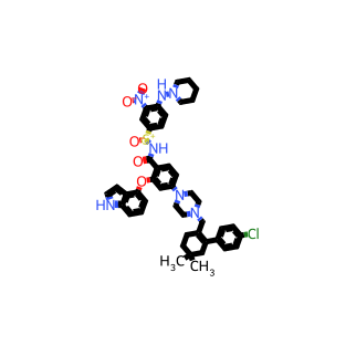 CC1(C)CCC(CN2CCN(c3ccc(C(=O)N[S+]([O-])c4ccc(NN5CCCCC5)c([N+](=O)[O-])c4)c(Oc4cccc5[nH]ccc45)c3)CC2)=C(c2ccc(Cl)cc2)C1